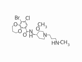 CNCCCN1CC[C@@H](CNC(=O)c2cc(Cl)c(Br)c3c2OCCCO3)C(OC)C1